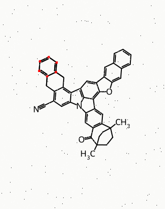 CC12CCC(C)(CC1)c1cc3c4c5oc6cc7ccccc7cc6c5cc5c6c7c(c(C#N)cc6n(c3cc1C2=O)c54)C1c2ccccc2C7c2ccccc21